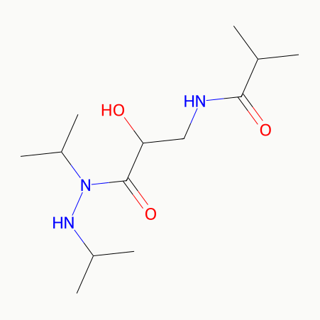 CC(C)NN(C(=O)C(O)CNC(=O)C(C)C)C(C)C